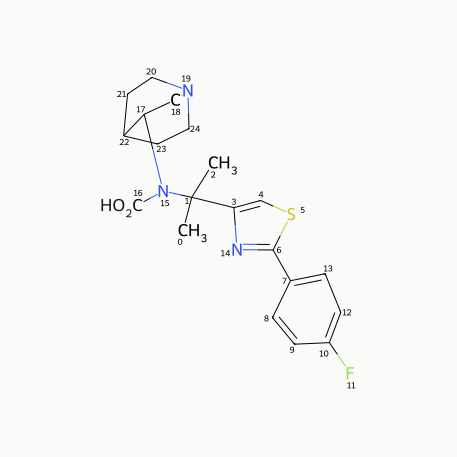 CC(C)(c1csc(-c2ccc(F)cc2)n1)N(C(=O)O)C1CN2CCC1CC2